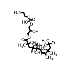 CCC(C)(C)CC(C)(C)/C(C)=C\CC(C)(C)C(C)(CC)CC(C)(C)C(=O)OCC(O)COP(=O)(O)OCCN